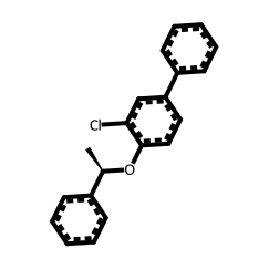 C[C@@H](Oc1ccc(-c2ccccc2)cc1Cl)c1ccccc1